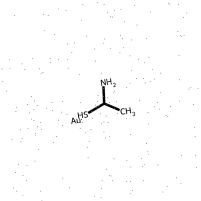 CC(N)S.[Au]